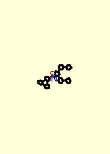 c1ccc(-c2cccc(-c3cc(-c4cccc(-c5ccccc5)c4)c4nc(-c5ccc(-c6ccccc6)c(-c6ccccc6)c5)sc4c3)c2)cc1